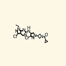 CCn1nc(Cl)c2cnc(Nc3cn(C4CN(C(=O)C5CC5)C4)nc3Cl)nc21